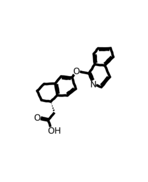 O=C(O)C[C@@H]1CCCc2cc(Oc3nccc4ccccc34)ccc21